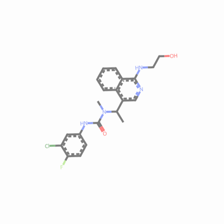 CC(c1cnc(NCCO)c2ccccc12)N(C)C(=O)Nc1ccc(F)c(Cl)c1